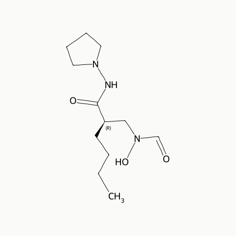 CCCC[C@H](CN(O)C=O)C(=O)NN1CCCC1